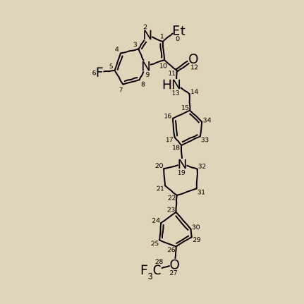 CCc1nc2cc(F)ccn2c1C(=O)NCc1ccc(N2CCC(c3ccc(OC(F)(F)F)cc3)CC2)cc1